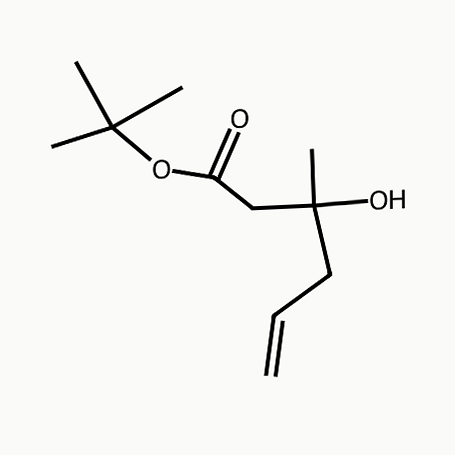 C=CCC(C)(O)CC(=O)OC(C)(C)C